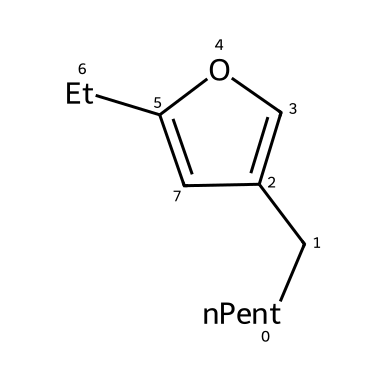 CCCCCCc1coc(CC)c1